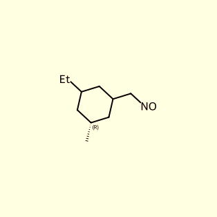 CCC1CC(CN=O)C[C@H](C)C1